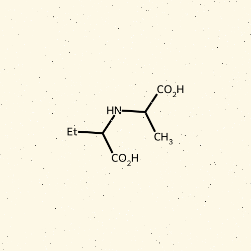 CCC(NC(C)C(=O)O)C(=O)O